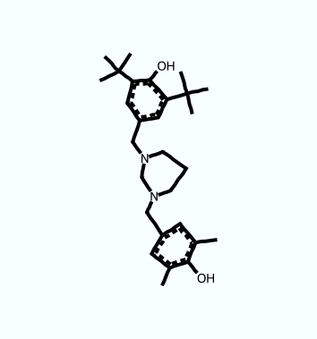 Cc1cc(CN2CCCN(Cc3cc(C(C)(C)C)c(O)c(C(C)(C)C)c3)C2)cc(C)c1O